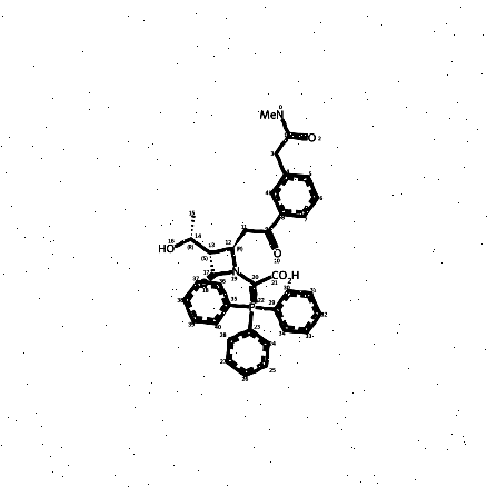 CNC(=O)Cc1cccc(C(=O)C[C@@H]2[C@@H]([C@@H](C)O)C(=O)N2C(C(=O)O)=P(c2ccccc2)(c2ccccc2)c2ccccc2)c1